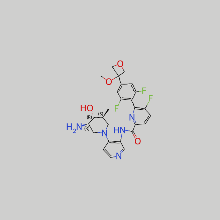 COC1(c2cc(F)c(-c3nc(C(=O)Nc4cnccc4N4C[C@@H](N)[C@H](O)[C@@H](C)C4)ccc3F)c(F)c2)COC1